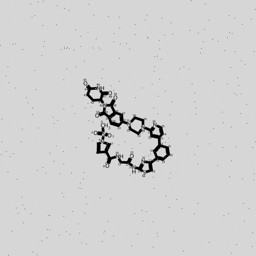 CS(=O)(=O)n1ccc(C(=O)NCC(=O)Nc2nc(-c3cccc(-c4ccnc(N5CCN(c6ccc7c(c6)C(=O)N(C6CCC(=O)NC6=O)C7=O)CC5)c4)c3)cs2)c1